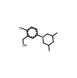 CC1CC(C)CN(c2ccc(Cl)c(CO)c2)C1